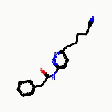 N#CCCCCc1ccc(NC(=O)Cc2ccccc2)nn1